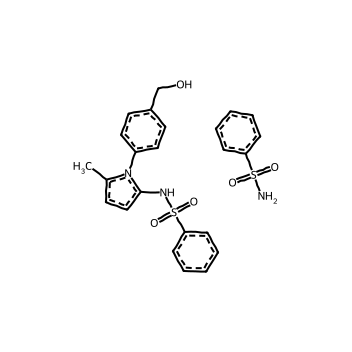 Cc1ccc(NS(=O)(=O)c2ccccc2)n1-c1ccc(CO)cc1.NS(=O)(=O)c1ccccc1